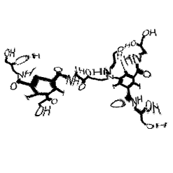 O=C(NCC(O)CO)c1cc(C(=O)NC(I)C(=O)C(O)CN(NCCO)c2c(I)c(C(=O)NCC(O)CO)c(I)c(C(=O)NCC(O)CO)c2I)c(I)c(C(=O)CO)c1I